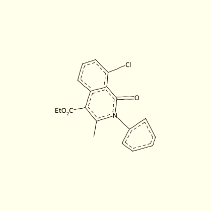 CCOC(=O)c1c(C)n(-c2ccccc2)c(=O)c2c(Cl)cccc12